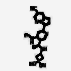 CC(C)Nc1cc(-c2ccc3cc(C#N)cnn23)ncc1C(=O)NC1CS(O)(O)C1